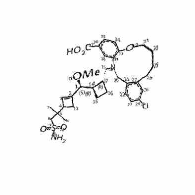 CO[C@H](C1=CC(C(C)(C)CS(N)(=O)=O)C1)[C@@H]1CC[C@H]1CN1Cc2ccc(Cl)cc2CCCCOc2ccc(C(=O)O)cc21